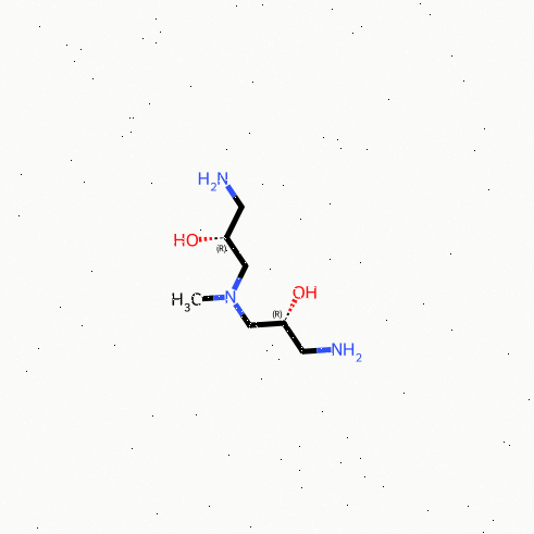 CN(C[C@H](O)CN)C[C@H](O)CN